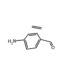 C=C.Nc1ccc(C=O)cc1